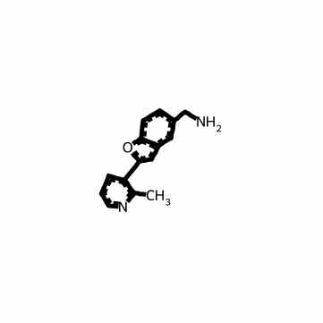 Cc1ncccc1-c1cc2cc(CN)ccc2o1